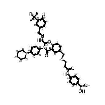 O=C(CCSCc1cccc(C(=O)N(C(=O)NN=Cc2ccc(Cl)c(C(F)(F)F)c2)c2ccc(N3CCCCC3)cc2)c1)Nc1ccc(B(O)O)cc1